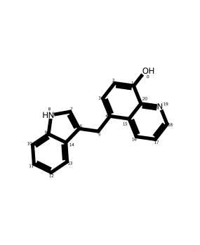 Oc1ccc(Cc2c[nH]c3ccccc23)c2cccnc12